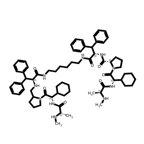 CN[C@@H](C)C(=O)N[C@H](C(=O)N1CCCC1CN[C@H](C(=O)NCCCCCCNC(=O)[C@@H](NC(=O)[C@@H]1CCCN1C(=O)[C@@H](NC(=O)[C@H](C)NC)C1CCCCC1)C(c1ccccc1)c1ccccc1)C(c1ccccc1)c1ccccc1)C1CCCCC1